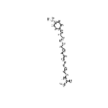 CC(=O)NCCOCCOCCOCCOCCOC1CCN(C)CC1